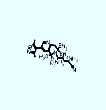 BC1(B)Cc2ncc(-c3c(C)noc3C)cc2C(B)(B)N1/C(N)=C(C)/C=C(\N)C#N